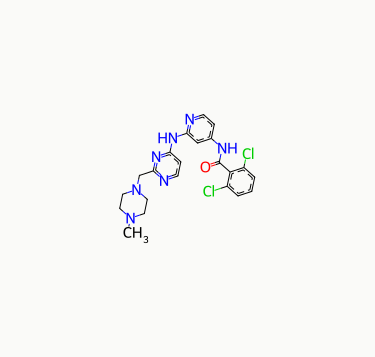 CN1CCN(Cc2nccc(Nc3cc(NC(=O)c4c(Cl)cccc4Cl)ccn3)n2)CC1